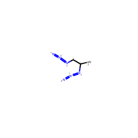 CCCC(CN=[N+]=[N-])N=[N+]=[N-]